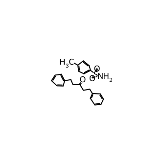 Cc1ccc(S(N)(=O)=O)cc1.O=C(CCc1ccccc1)CCc1ccccc1